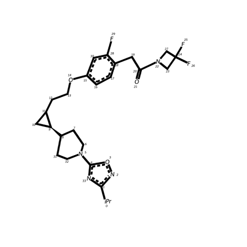 CC(C)c1noc(N2CCC([C@H]3CC3CCOc3ccc(CC(=O)N4CC(F)(F)C4)c(F)c3)CC2)n1